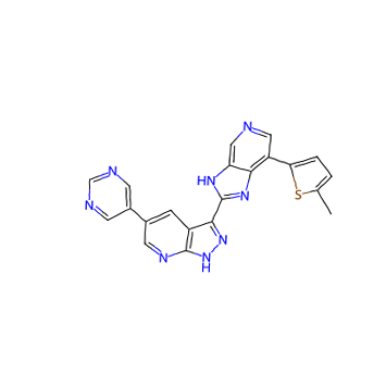 Cc1ccc(-c2cncc3[nH]c(-c4n[nH]c5ncc(-c6cncnc6)cc45)nc23)s1